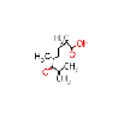 C=C(C)C(=O)C(C)CCC(=C)C(=O)O